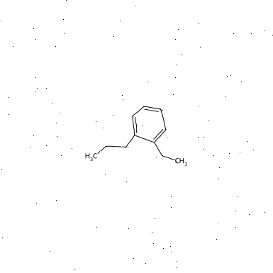 CC[CH]c1ccccc1CC